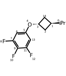 CC(C)[C@H]1C[C@H](Oc2cc(F)c(F)c(F)c2)C1